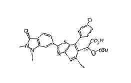 Cc1cc2nc(-c3ccc4c(=O)n(C)n(C)c4c3)sc2c(-c2ccc(Cl)cc2)c1[C@H](OC(C)(C)C)C(=O)O